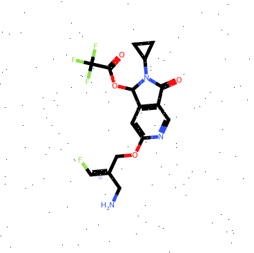 NC/C(=C/F)COc1cc2c(cn1)C(=O)N(C1CC1)C2OC(=O)C(F)(F)F